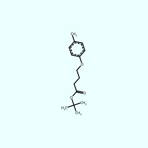 Cc1ccc(OCCCC(=O)OC(C)(C)C)cc1